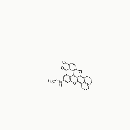 CCNc1ccc2c(c1)Oc1c3c4c(cc1=C2c1c(Cl)ccc(Cl)c1C=O)CCC[N+]=4CCC3